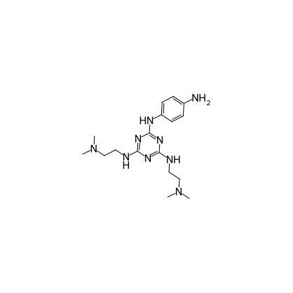 CN(C)CCNc1nc(NCCN(C)C)nc(Nc2ccc(N)cc2)n1